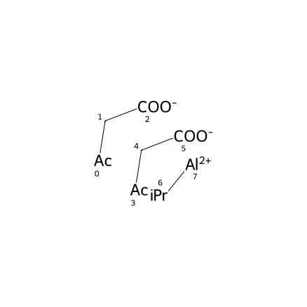 CC(=O)CC(=O)[O-].CC(=O)CC(=O)[O-].C[CH](C)[Al+2]